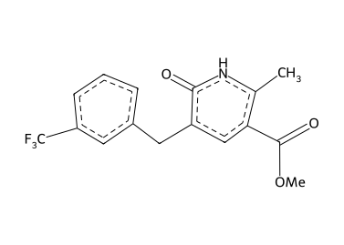 COC(=O)c1cc(Cc2cccc(C(F)(F)F)c2)c(=O)[nH]c1C